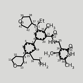 CCN(c1cc(-c2ccc(C3CCOCC3)c(CCP)c2)cc(C(=O)NCc2c(C)cc(C)[nH]c2=O)c1C)C1CCOCC1